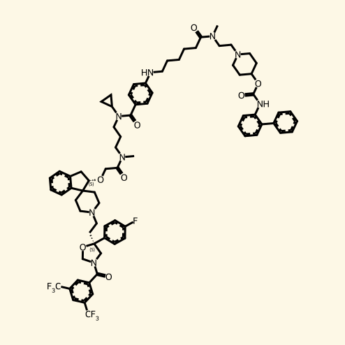 CN(CCN1CCC(OC(=O)Nc2ccccc2-c2ccccc2)CC1)C(=O)CCCCCNc1ccc(C(=O)N(CCCN(C)C(=O)CO[C@H]2Cc3ccccc3C23CCN(CC[C@]2(c4ccc(F)cc4)CN(C(=O)c4cc(C(F)(F)F)cc(C(F)(F)F)c4)CO2)CC3)C2CC2)cc1